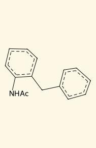 CC(=O)Nc1ccccc1Cc1ccccc1